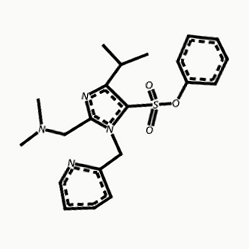 CC(C)c1nc(CN(C)C)n(Cc2ccccn2)c1S(=O)(=O)Oc1ccccc1